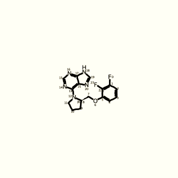 Fc1cccc(OC[C@H]2CCCN2c2ncnc3[nH]cnc23)c1F